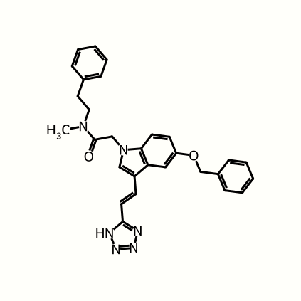 CN(CCc1ccccc1)C(=O)Cn1cc(C=Cc2nnn[nH]2)c2cc(OCc3ccccc3)ccc21